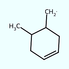 [CH2]C1CC=CCC1C